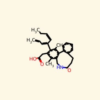 C=C/C=C(\C=C/CC)c1c(C)c2c(c(C)c1CC(=O)O)CNC(=O)CCc1ccccc1-2